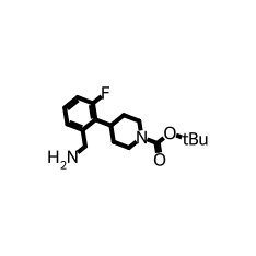 CC(C)(C)OC(=O)N1CCC(c2c(F)cccc2CN)CC1